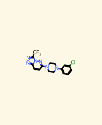 FC(F)(F)c1nnc2ccc(N3CCN(c4cccc(Cl)c4)CC3)nn12